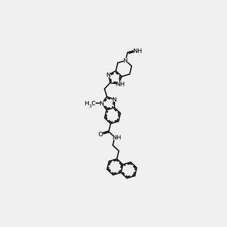 Cn1c(Cc2nc3c([nH]2)CCN(C=N)C3)nc2ccc(C(=O)NCCc3cccc4ccccc34)cc21